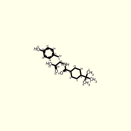 CC(C)(C)C1CCC(C(=O)N[C@@H](Cc2ccc(O)cc2)C(=O)O)CC1